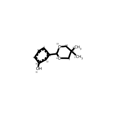 CC1(C)COC(c2cccc(O)c2)OC1